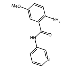 COc1ccc(N)c(C(=O)Nc2cccnc2)c1